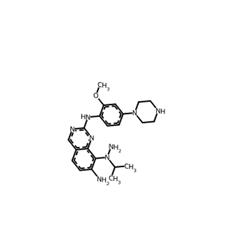 COc1cc(N2CCNCC2)ccc1Nc1ncc2ccc(N)c(N(N)C(C)C)c2n1